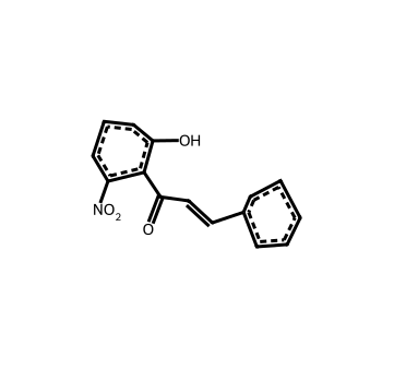 O=C(C=Cc1ccccc1)c1c(O)cccc1[N+](=O)[O-]